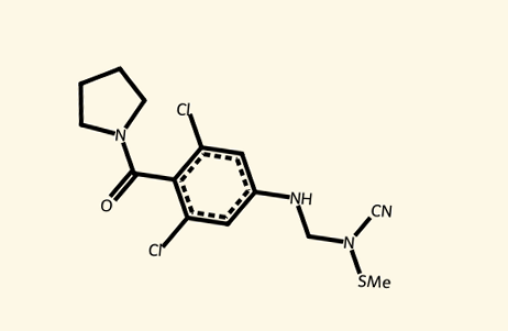 CSN(C#N)CNc1cc(Cl)c(C(=O)N2CCCC2)c(Cl)c1